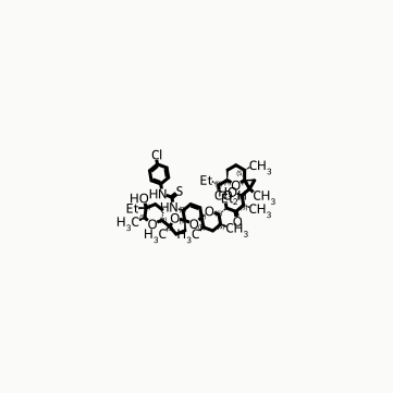 CCC(C(=O)[C@@H](C)[C@@H](O)C1(C)C[C@]12O[C@@H]([C@@H](CC)C(=O)O)CC[C@@H]2C)[C@H]1O[C@]2(C=C[C@@H](NC(=S)Nc3ccc(Cl)cc3)[C@]3(CC[C@@](C)([C@H]4CC[C@](O)(CC)[C@H](C)O4)O3)O2)[C@H](C)C[C@@H]1C